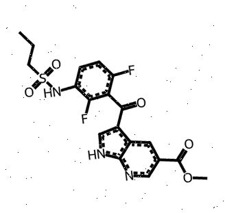 CCCS(=O)(=O)Nc1ccc(F)c(C(=O)c2c[nH]c3ncc(C(=O)OC)cc23)c1F